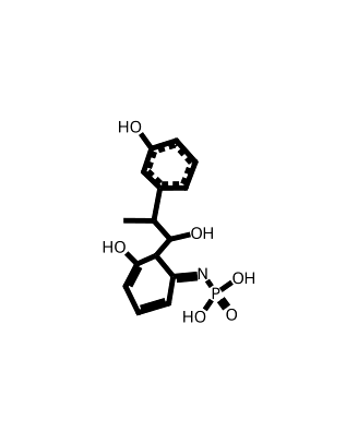 CC(c1cccc(O)c1)C(O)C1C(O)=CC=CC1=NP(=O)(O)O